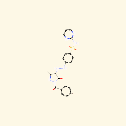 CC1=NN(C(=O)c2ccc(O)cc2)C(=O)C1NNc1ccc(S(=O)(=O)Nc2ncccn2)cc1